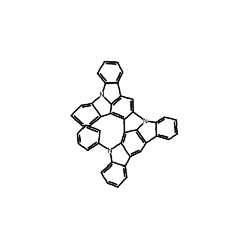 c1ccc(-n2c3ccccc3c3cc4c5ccccc5n5c6cc7c8ccccc8n8c9ccccc9c(c6c(c32)c45)c78)cc1